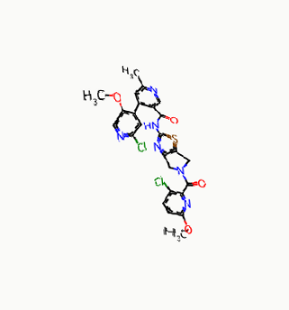 COc1ccc(Cl)c(C(=O)N2Cc3nc(NC(=O)c4cnc(C)cc4-c4cc(Cl)ncc4OC)sc3C2)n1